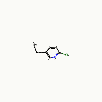 [CH2]C(C)Cc1ccc(Cl)nc1